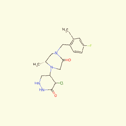 Cc1cc(F)ccc1CN1C[C@@H](C)N(C2CNNC(=O)C2Cl)CC1=O